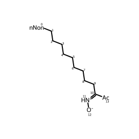 CCCCCCCCCCCCCCCCCCC(=[NH+][O-])C(C)=O